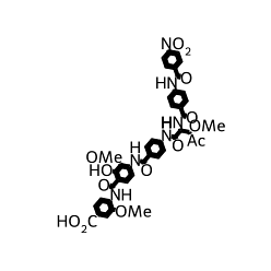 COc1cc(C(=O)O)ccc1NC(=O)c1ccc(NC(=O)c2ccc(NC(=O)C(NC(=O)c3ccc(NC(=O)c4ccc([N+](=O)[O-])cc4)cc3)C(OC)C(C)=O)cc2)c(OC)c1O